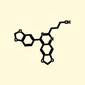 OCCCc1nc(-c2ccc3c(c2)OCO3)c2cc3c(cc2n1)OCO3